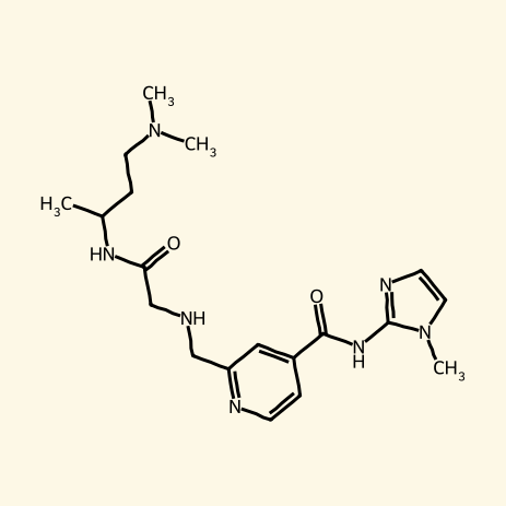 CC(CCN(C)C)NC(=O)CNCc1cc(C(=O)Nc2nccn2C)ccn1